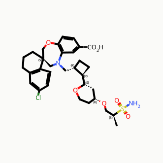 C[C@@H](CO[C@@H]1CCO[C@H]([C@@H]2CC[C@H]2CN2C[C@@]3(CCCc4cc(Cl)ccc43)COc3ccc(C(=O)O)cc32)C1)S(N)(=O)=O